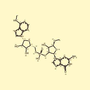 CNc1ncnc2c1ncn2[C@@H]1O[C@H](COP(=O)(O)OC2C(O)[C@@H](OC)O[C@H]2n2cnc3c(=O)[nH]c(N)nc32)C(O)C1O